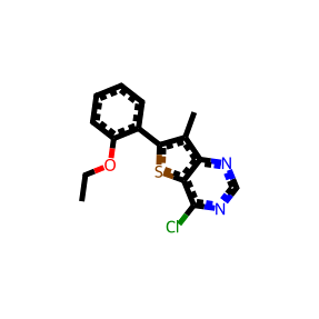 CCOc1ccccc1-c1sc2c(Cl)ncnc2c1C